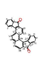 O=c1c2ccccc2c2c1ccc1c2ccc2ccc3c(=O)c4ccccc4c3c21